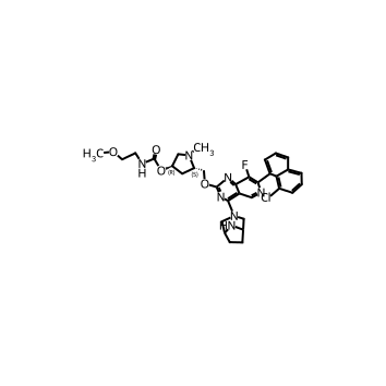 COCCNC(=O)O[C@@H]1C[C@@H](COc2nc(N3CC4CCC(C3)N4)c3cnc(-c4cccc5cccc(Cl)c45)c(F)c3n2)N(C)C1